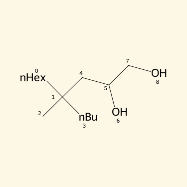 CCCCCCC(C)(CCCC)CC(O)CO